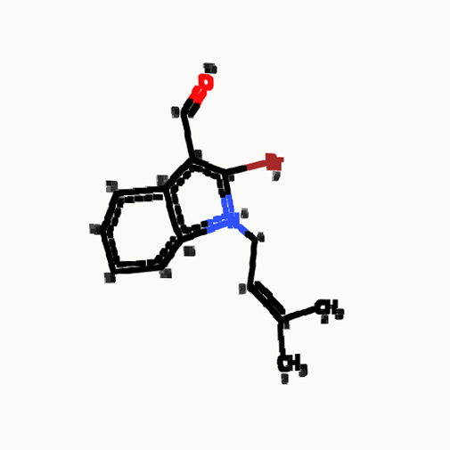 CC(C)=CCn1c(Br)c(C=O)c2ccccc21